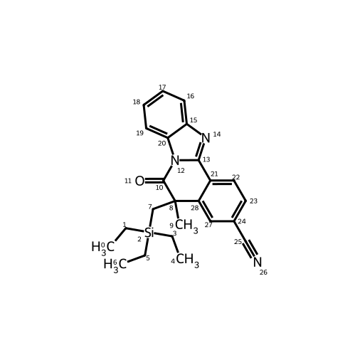 CC[Si](CC)(CC)CC1(C)C(=O)n2c(nc3ccccc32)-c2ccc(C#N)cc21